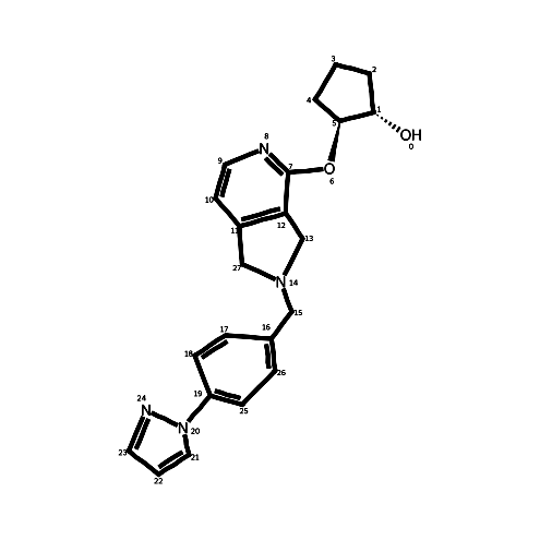 O[C@H]1CCC[C@@H]1Oc1nccc2c1CN(Cc1ccc(-n3cccn3)cc1)C2